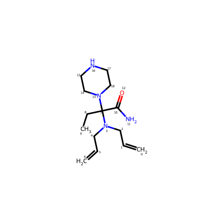 C=CCN(CC=C)C(CC)(C(N)=O)N1CCNCC1